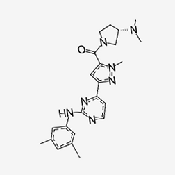 Cc1cc(C)cc(Nc2nccc(-c3cc(C(=O)N4CC[C@H](N(C)C)C4)n(C)n3)n2)c1